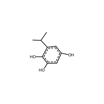 CC(C)c1cc(O)cc(O)c1O